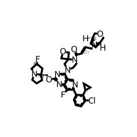 O=C(/C=C/CN1[C@@H]2CC[C@H]1COC2)N1CCN(c2nc(OC[C@@]34CCCN3C[C@H](F)C4)nc3c(F)c(-c4cccc(Cl)c4C4CC4)ncc23)CC12COC2